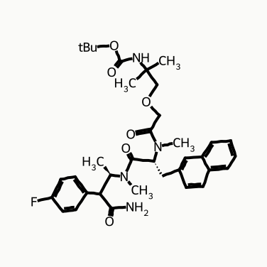 C[C@H](C(C(N)=O)c1ccc(F)cc1)N(C)C(=O)[C@@H](Cc1ccc2ccccc2c1)N(C)C(=O)COCC(C)(C)NC(=O)OC(C)(C)C